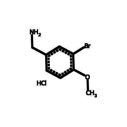 COc1ccc(CN)cc1Br.Cl